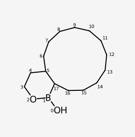 OB1OCCC2CCCCCCCCCCCC12